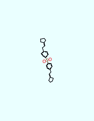 O=S(=O)(c1ccc(CC=C2CCCC2)cc1)c1ccc(CC=C2CCCC2)cc1